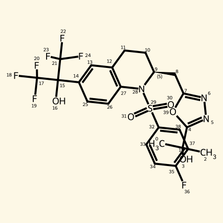 CC(C)(O)c1nnc(C[C@@H]2CCc3cc(C(O)(C(F)(F)F)C(F)(F)F)ccc3N2S(=O)(=O)c2ccc(F)cc2)o1